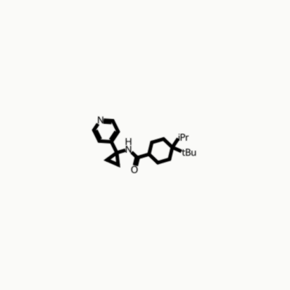 CC(C)C1(C(C)(C)C)CCC(C(=O)NC2(c3ccncc3)CC2)CC1